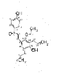 C=CCc1cc(/C=C/C(=O)c2ccc(O)cc2)c(OCC)c(CC=C)c1O